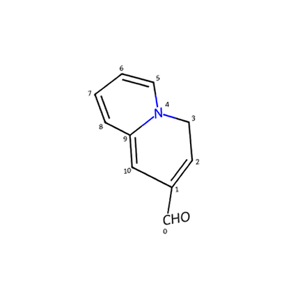 O=CC1=CCN2C=CC=CC2=C1